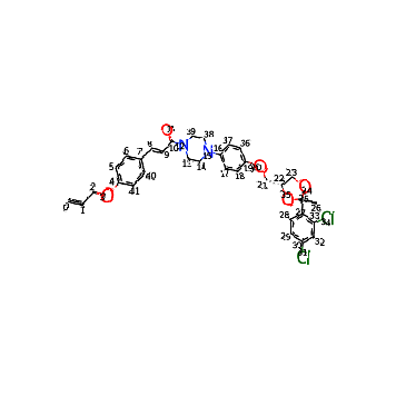 C=CCOc1ccc(/C=C/C(=O)N2CCN(c3ccc(OC[C@@H]4CO[C@](C)(c5ccc(Cl)cc5Cl)O4)cc3)CC2)cc1